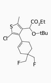 CCOC(=O)C(OC(C)(C)C)c1c(C)sc(Cl)c1C1=CCC(CF)(CF)CC1